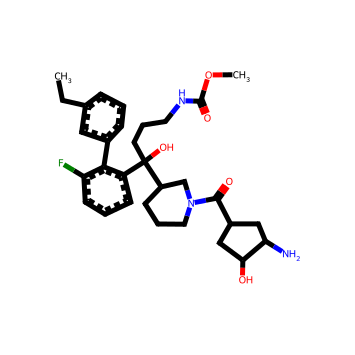 CCc1cccc(-c2c(F)cccc2C(O)(CCCNC(=O)OC)C2CCCN(C(=O)C3CC(N)C(O)C3)C2)c1